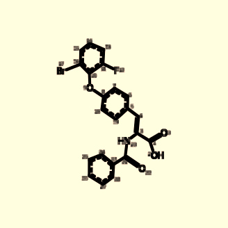 O=C(O)C(=Cc1ccc(Oc2c(F)cccc2Br)cc1)NC(=O)c1ccccc1